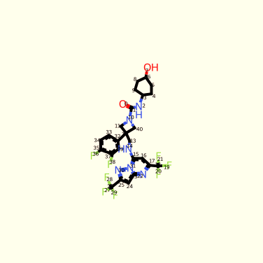 O=C(NC1CCC(O)CC1)N1CC(CNc2cc(C(F)(F)F)nc3cc(C(F)(F)F)nn23)(c2ccc(F)c(F)c2)C1